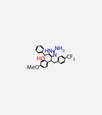 COc1ccc(C(Cc2ccc(C(F)(F)F)cc2)c2nc(N)[nH]c2C(O)c2ccccc2)cc1